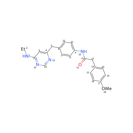 CCNc1cc(Cc2ccc(NC(=O)Cc3ccc(OC)cc3)cc2)ncn1